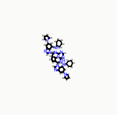 c1ccn(-c2cc(NC3CCCCC3)c3c(c2)ncn3-c2nc3ncnc4nc(-n5cnc6cc(-n7cccc7)cc(NC7CCCCC7)c65)c5ccc2c5n34)c1